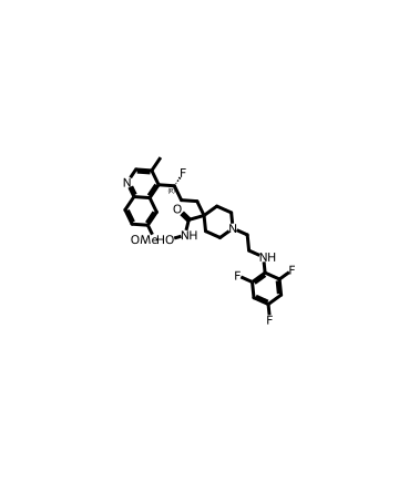 COc1ccc2ncc(C)c([C@H](F)CCC3(C(=O)NO)CCN(CCNc4c(F)cc(F)cc4F)CC3)c2c1